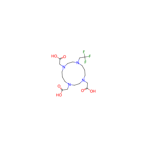 O=C(O)CN1CCCN(CC(=O)O)CCN(CC(F)(F)F)CCCN(CC(=O)O)CC1